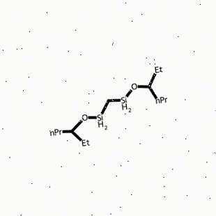 CCCC(CC)O[SiH2]C[SiH2]OC(CC)CCC